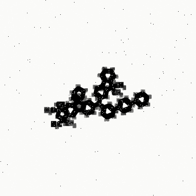 CC1(C)CC(C)(C)c2cc3c(cc21)-c1ccc(N(c2cccc(-c4ccc(-c5ccccc5)cc4)c2)c2ccc4c(c2)C(C)(C)c2ccccc2-4)cc1C31CC2CCC1C2